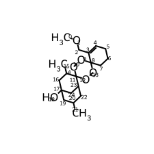 COCC1=CCCCC12OOC1(OO2)C(C)CC2(O)CC(C)CC1C2